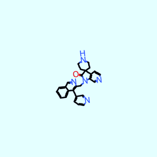 O=C1N(Cc2ncc3ccccc3c2-c2cccnc2)c2cnccc2C12CCNCC2